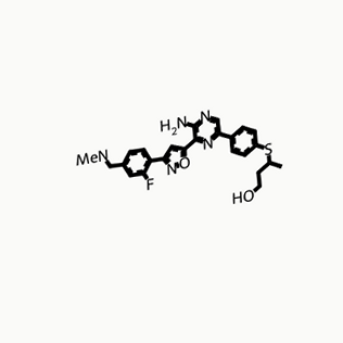 CNCc1ccc(-c2cc(-c3nc(-c4ccc(SC(C)CCO)cc4)cnc3N)on2)c(F)c1